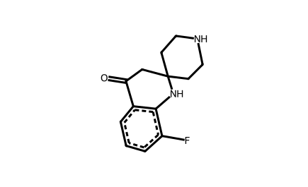 O=C1CC2(CCNCC2)Nc2c(F)cccc21